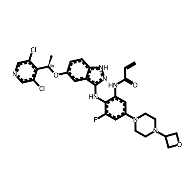 C=CC(=O)Nc1cc(N2CCN(C3COC3)CC2)cc(F)c1Nc1n[nH]c2ccc(O[C@H](C)c3c(Cl)cncc3Cl)cc12